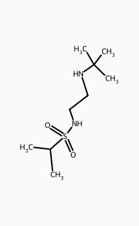 CC(C)S(=O)(=O)NCCNC(C)(C)C